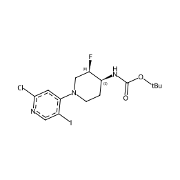 CC(C)(C)OC(=O)N[C@H]1CCN(c2cc(Cl)ncc2I)C[C@H]1F